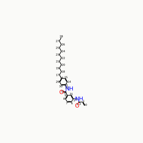 C=CC(=O)Nc1cccc(C(=O)Nc2ccc(CCCCCCCCCCCC)cc2)c1